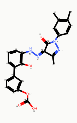 CC1=NN(c2ccc(C)c(C)c2)C(=O)C1=NNc1cccc(-c2cccc(OC(=O)O)c2)c1O